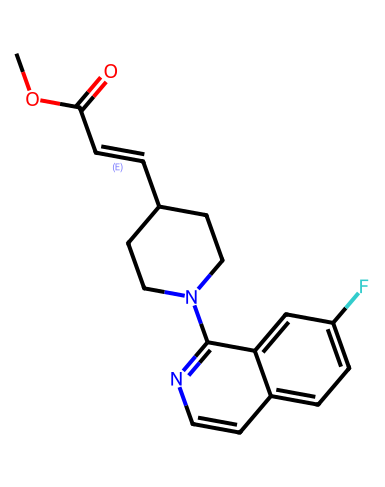 COC(=O)/C=C/C1CCN(c2nccc3ccc(F)cc23)CC1